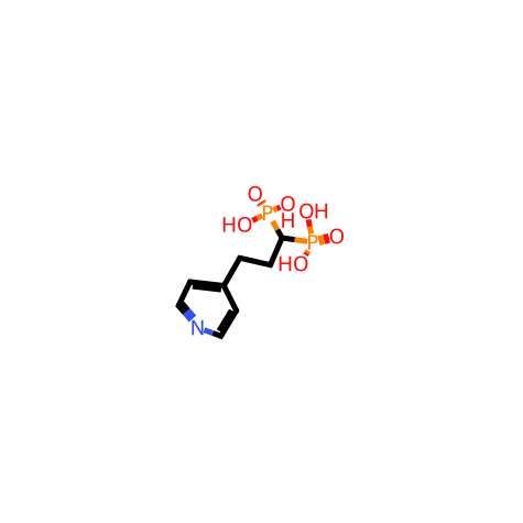 O=P(O)(O)C(CCc1ccncc1)P(=O)(O)O